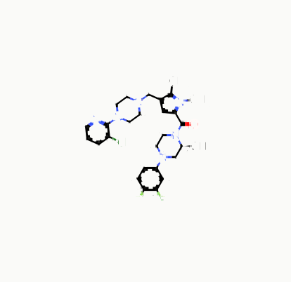 Cc1c(CN2CCN(c3ncccc3Cl)CC2)cc(C(=O)N2CCN(c3ccc(F)c(F)c3)C[C@@H]2C)n1C